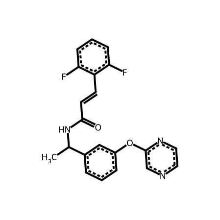 CC(NC(=O)C=Cc1c(F)cccc1F)c1cccc(Oc2cnccn2)c1